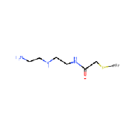 CCCSCC(=O)NCCNCCN